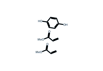 C=CC(=O)OC.C=CC(=O)OC.Oc1ccc(O)cc1